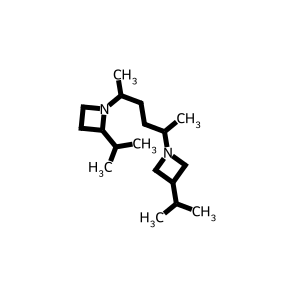 CC(C)C1CN(C(C)CCC(C)N2CCC2C(C)C)C1